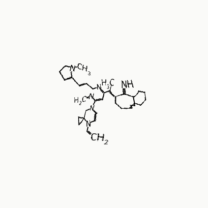 C=CN1CCN(/C(=C/C(=N\CCCC2CCCN2C)C(/C)=C2\CCC3CCCC34CCCCC4C2=N)N=C)CC12CC2